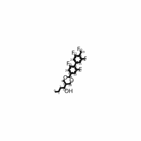 CCCC(O)C1COC(c2cc(F)c(-c3cc(F)c(CF)c(F)c3)c(F)c2)OC1